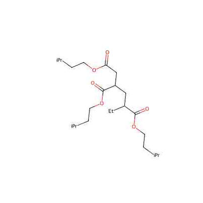 CCC(CC(CC(=O)OCCC(C)C)C(=O)OCCC(C)C)C(=O)OCCC(C)C